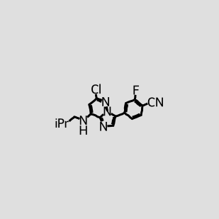 CC(C)CNc1cc(Cl)nn2c(-c3ccc(C#N)c(F)c3)cnc12